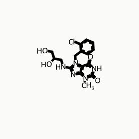 Cn1c(=O)[nH]c(=O)c2c1nc(NCC(O)CO)n2Cc1ccccc1Cl